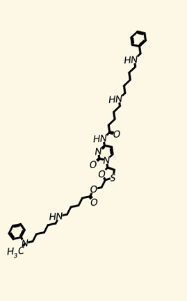 CN(CCCCCNCCCCC(=O)OCC1OC(n2ccc(NC(=O)CCCCNCCCCCNCc3ccccc3)nc2=O)CS1)c1ccccc1